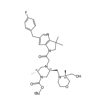 C[C@@H]1CN(CC(=O)N2CC(C)(C)c3ncc(Cc4ccc(F)cc4)cc32)[C@@H](CN2CCOC[C@@]2(C)CO)CN1C(=O)OC(C)(C)C